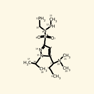 CCC(c1cc(S(=O)(=O)N(CP)PC)nn1C(C)C)N(C)C